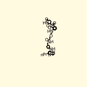 CCCc1cc(N[C@@H]2CCC(CNC(=O)CCOCCNc3cccc4c3C(=O)N(C3CCC(=O)NC3=O)C4=O)C2)n2nccc2n1